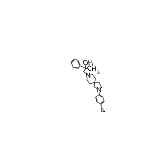 CC(O)(CN1CCC2(CC1)CCN(c1ccc(C3CC3)cc1)C2)c1ccccc1